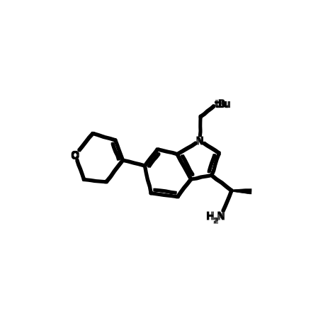 C[C@@H](N)c1cn(CC(C)(C)C)c2cc(C3=CCOCC3)ccc12